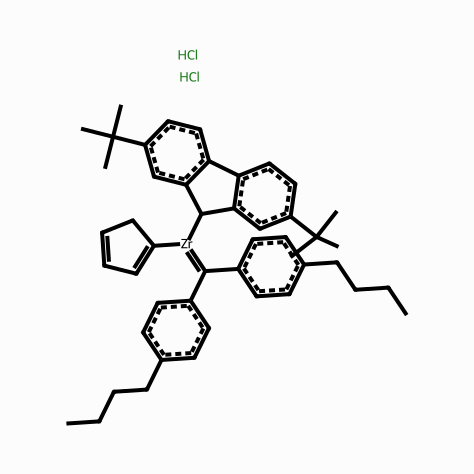 CCCCc1ccc([C](c2ccc(CCCC)cc2)=[Zr]([C]2=CC=CC2)[CH]2c3cc(C(C)(C)C)ccc3-c3ccc(C(C)(C)C)cc32)cc1.Cl.Cl